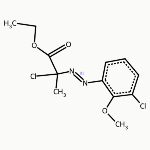 CCOC(=O)C(C)(Cl)/N=N/c1cccc(Cl)c1OC